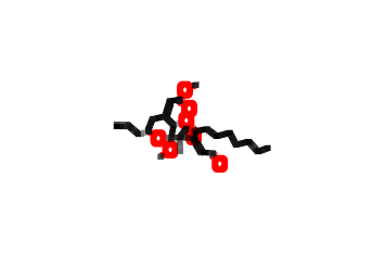 C=CC[C@@H]1C/C(=C/C(=O)OC)[C@H](OC(=O)CCCCCCC)[C@](OC)(C(C)(C)/C=C/C=O)O1